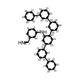 N=Cc1cccc(Nc2cc(-c3cccc(-c4ccccc4)c3)ccc2-c2cccc(-c3cccc(-c4ccccc4)c3)c2)c1